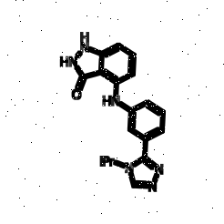 CC(C)n1cnnc1-c1cccc(Nc2cccc3[nH][nH]c(=O)c23)c1